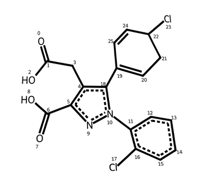 O=C(O)Cc1c(C(=O)O)nn(-c2ccccc2Cl)c1C1=CCC(Cl)C=C1